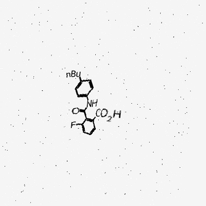 CCCCc1ccc(NC(=O)c2c(F)cccc2C(=O)O)cc1